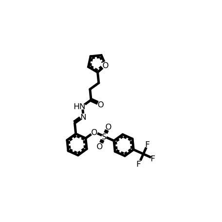 O=C(CCc1ccco1)NN=Cc1ccccc1OS(=O)(=O)c1ccc(C(F)(F)F)cc1